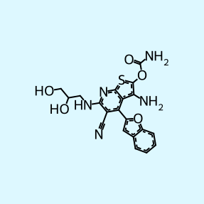 N#Cc1c(NCC(O)CO)nc2sc(OC(N)=O)c(N)c2c1-c1cc2ccccc2o1